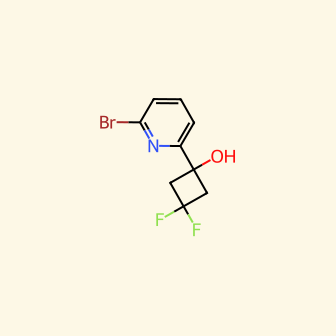 OC1(c2cccc(Br)n2)CC(F)(F)C1